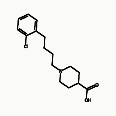 O=C(O)C1CCN(CCCCc2ccccc2Cl)CC1